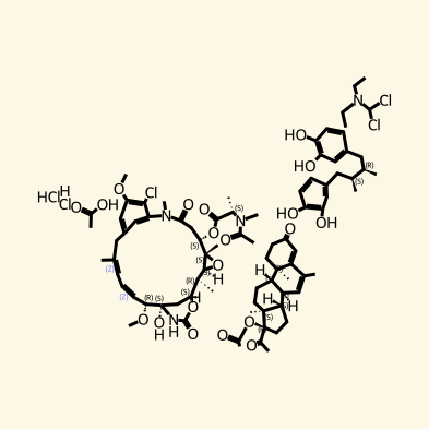 CC(=O)O.CC(=O)O[C@]1(C(C)=O)CC[C@H]2[C@@H]3C=C(C)C4=CC(=O)CC[C@]4(C)[C@H]3CC[C@@]21C.CCN(CC)C(Cl)Cl.COc1cc2cc(c1Cl)N(C)C(=O)C[C@H](OC(=O)[C@H](C)N(C)C(C)=O)[C@]1(C)O[C@H]1[C@H](C)[C@@H]1C[C@@](O)(NC(=O)O1)[C@H](OC)/C=C\C=C(\C)C2.C[C@H](Cc1ccc(O)c(O)c1)[C@@H](C)Cc1ccc(O)c(O)c1.Cl.Cl